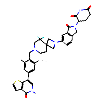 COc1cc(-c2cn(C)c(=O)c3ccsc23)cc(OC)c1CN1CCC2(CN(c3ccc4c(c3)C(=O)N(C3CCC(=O)NC3=O)C4)C2)C(F)(F)C1